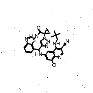 CC(C)(C)CNc1c(C#N)cnc2c(Cl)cc(NC(c3cn(C4(C(N)=O)CC4)nn3)c3cccc4ncsc34)cc12